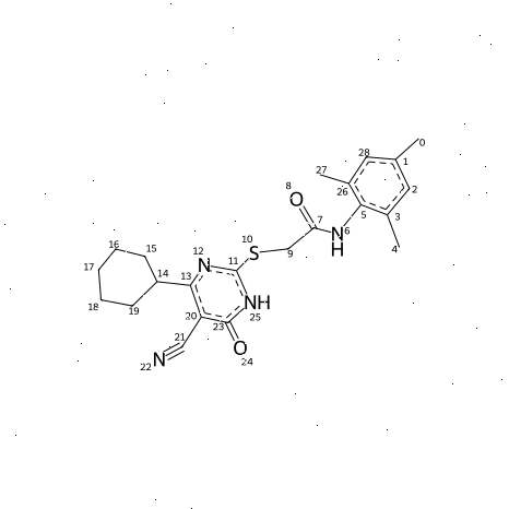 Cc1cc(C)c(NC(=O)CSc2nc(C3CCCCC3)c(C#N)c(=O)[nH]2)c(C)c1